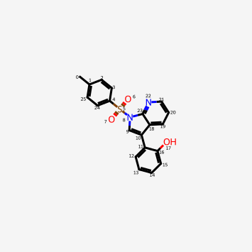 Cc1ccc(S(=O)(=O)n2cc(-c3ccccc3O)c3cccnc32)cc1